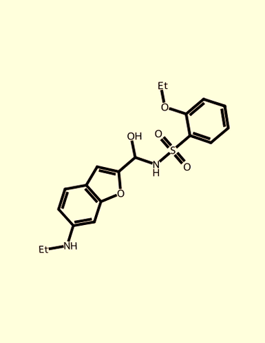 CCNc1ccc2cc(C(O)NS(=O)(=O)c3ccccc3OCC)oc2c1